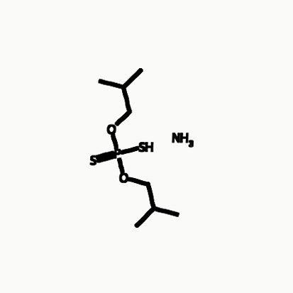 CC(C)COP(=S)(S)OCC(C)C.N